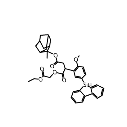 CCOC(=O)COC(=O)C(CC(=O)OC1(C)C2CC3CC(C2)CC1C3)c1cc([SiH]2c3ccccc3-c3ccccc32)ccc1OC